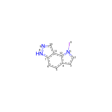 In1ccc2ccc3[nH]ncc3c21